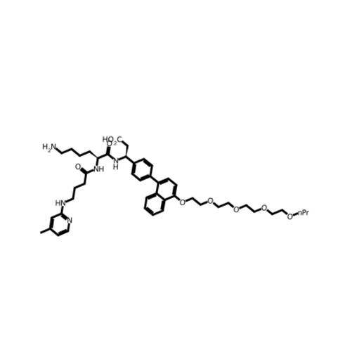 CCCOCCOCCOCCOCCOc1ccc(-c2ccc([C@H](CC(=O)O)NC(=O)[C@H](CCCCN)NC(=O)CCCNc3cc(C)ccn3)cc2)c2ccccc12